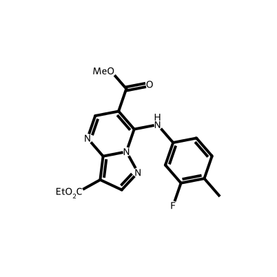 CCOC(=O)c1cnn2c(Nc3ccc(C)c(F)c3)c(C(=O)OC)cnc12